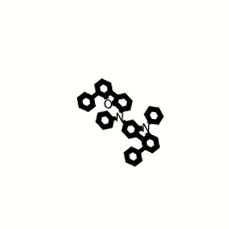 c1ccc(-c2cccc3c2oc2c(N(c4ccccc4)c4ccc5c6c(-c7ccccc7)cccc6n(-c6ccccc6)c5c4)cccc23)cc1